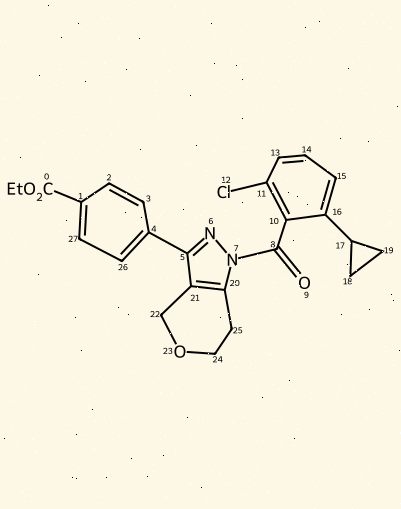 CCOC(=O)c1ccc(-c2nn(C(=O)c3c(Cl)cccc3C3CC3)c3c2COCC3)cc1